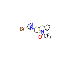 O=C(N=S1CCC(n2cc(Br)cn2)CC1Cc1ccccc1)C(F)(F)F